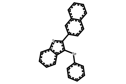 c1ccc([Se]c2c(-c3ccc4ccccc4c3)sc3ccccc23)cc1